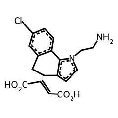 NCCn1ccc2c1-c1ccc(Cl)cc1CC2.O=C(O)/C=C/C(=O)O